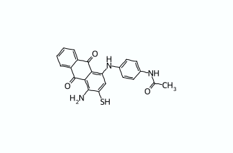 CC(=O)Nc1ccc(Nc2cc(S)c(N)c3c2C(=O)c2ccccc2C3=O)cc1